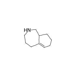 C1=C2CCCNCC2CCC1